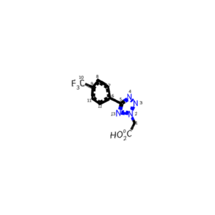 O=C(O)Cn1nnc(-c2ccc(C(F)(F)F)cc2)n1